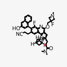 CN1CC(F)(COc2nc3c(F)c(-c4cc(O)cc5ccccc45)c(CCC#N)cc3c3c2cc(CCC(=O)N(C)C)n3[C@H]2[C@H]3CN[C@@H]2C3)C1